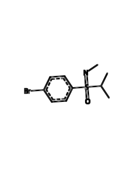 CN=S(=O)(c1ccc(Br)cc1)C(C)C